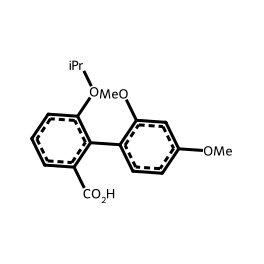 COc1ccc(-c2c(OC(C)C)cccc2C(=O)O)c(OC)c1